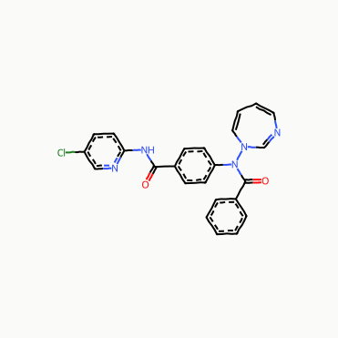 O=C(Nc1ccc(Cl)cn1)c1ccc(N(C(=O)c2ccccc2)N2C=CC=CN=C2)cc1